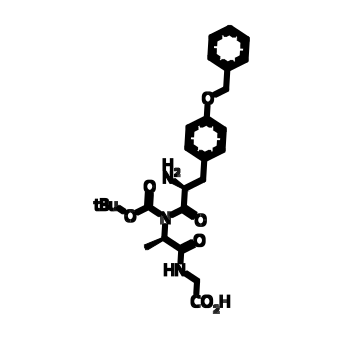 C[C@H](C(=O)NCC(=O)O)N(C(=O)OC(C)(C)C)C(=O)[C@@H](N)Cc1ccc(OCc2ccccc2)cc1